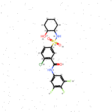 O=C(Nc1cc(F)c(F)c(F)c1)c1cc(S(=O)(=O)NC2CCCCC2O)ccc1Cl